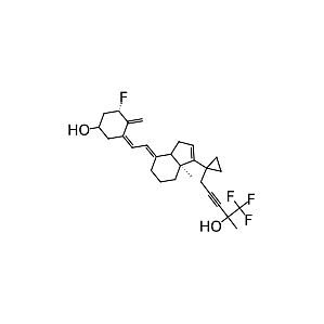 C=C1/C(=C\C=C2/CCC[C@]3(C)C(C4(CC#CC(C)(O)C(F)(F)F)CC4)=CCC23)CC(O)C[C@@H]1F